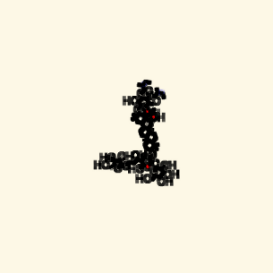 C/C=C(/C)C(=O)OC1[C@@H](OC(=O)/C(C)=C\C)C(C)O[C@@H](O[C@H]2[C@H](OC(C)=O)[C@@]3(CO)C(CC2(C)C)C2=CCC4[C@@]5(C)CC[C@H](O[C@H](OC(C(=O)O)[C@@H](O)CCO[C@@H]6O[C@@H](CO)C(O)[C@@H]6O)[C@H](C)O[C@@H]6OC(CO)[C@H](O)C(O)[C@@H]6O)C(C)(C)C5CC[C@@]4(C)[C@]2(C)C[C@H]3O)[C@H]1O